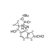 CC(C)(C)OC(=O)NC1(C(O)c2ccc3c(c2C#N)CC(C=O)C3)CC1